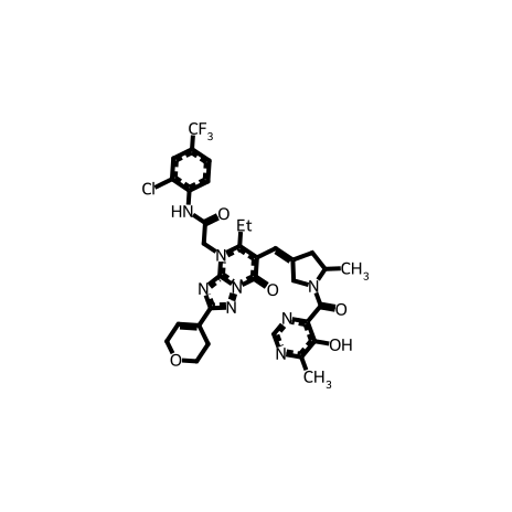 CCc1c(C=C2CC(C)N(C(=O)c3ncnc(C)c3O)C2)c(=O)n2nc(C3=CCOCC3)nc2n1CC(=O)Nc1ccc(C(F)(F)F)cc1Cl